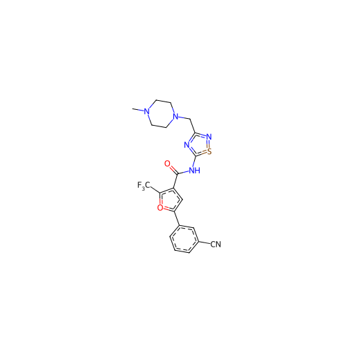 CN1CCN(Cc2nsc(NC(=O)c3cc(-c4cccc(C#N)c4)oc3C(F)(F)F)n2)CC1